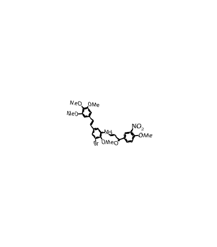 COc1ccc(C(=O)C=CNc2cc(C=Cc3cc(OC)c(OC)c(OC)c3)cc(Br)c2OC)cc1[N+](=O)[O-]